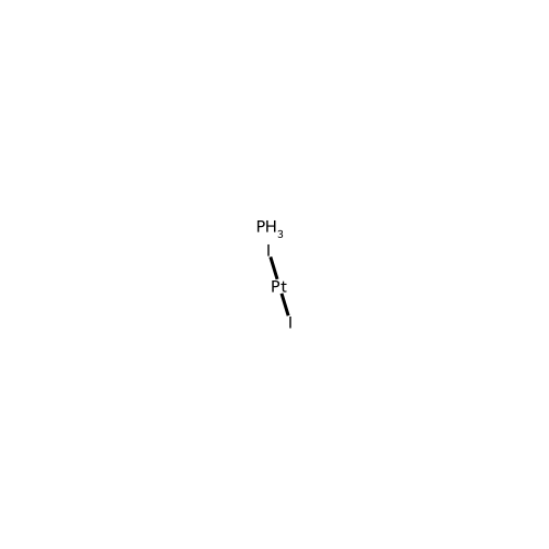 P.[I][Pt][I]